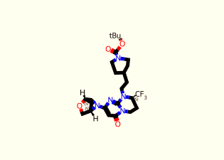 CC(C)(C)OC(=O)N1CCC(CCN2c3nc(N4C[C@@H]5C[C@H]4CO5)cc(=O)n3CC[C@H]2C(F)(F)F)CC1